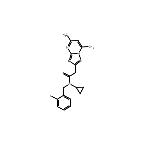 Cc1cc(C)n2nc(CC(=O)N(Cc3ccccc3F)C3CC3)nc2n1